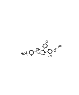 CC(C)(O)c1ccc([C@H](O)CN2CCN(c3ccc(OCCO)cc3C#N)[C@H](c3ccc(Cl)cc3)C2)cn1